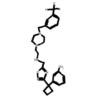 Cc1cccc(C2(c3noc(CNCCN4CCN(Cc5cccc(C(F)(F)F)c5)CC4)n3)CCC2)c1